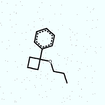 CCCOC1(c2ccccc2)CCC1